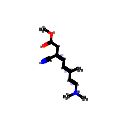 COC(=O)C/C(C#N)=C/C=C(C)/C=C/N(C)C